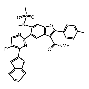 CNC(=O)c1c(-c2ccc(C)cc2)oc2cc(N(C)S(C)(=O)=O)c(-c3ncc(F)c(-c4cc5ccccc5s4)n3)cc12